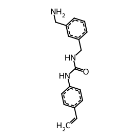 C=Cc1ccc(NC(=O)NCc2cccc(CN)c2)cc1